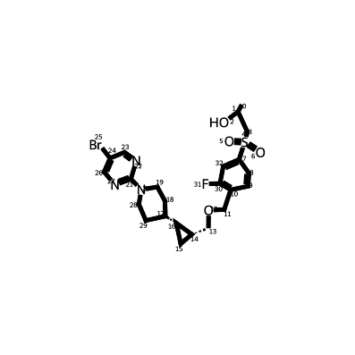 CC(O)CS(=O)(=O)c1ccc(COC[C@@H]2C[C@@H]2C2CCN(c3ncc(Br)cn3)CC2)c(F)c1